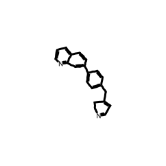 C1=NCCC(Cc2ccc(-c3ccc4cccnc4c3)cc2)=C1